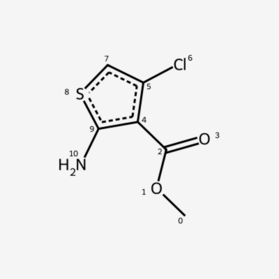 COC(=O)c1c(Cl)csc1N